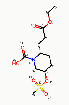 CCOC(=O)CC[C@@H]1CC[C@@H](OS(C)(=O)=O)CN1C(=O)O